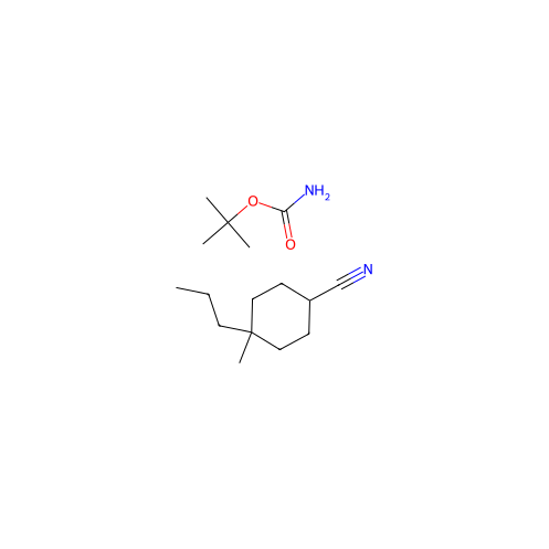 CC(C)(C)OC(N)=O.CCCC1(C)CCC(C#N)CC1